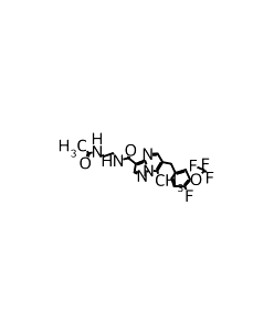 CC(=O)NCCNC(=O)c1cnn2c(C)c(Cc3ccc(F)c(OC(F)(F)F)c3)cnc12